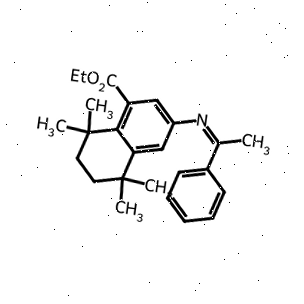 CCOC(=O)c1cc(N=C(C)c2ccccc2)cc2c1C(C)(C)CCC2(C)C